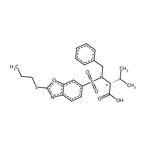 CCCSc1nc2ccc(S(=O)(=O)N(Cc3ccccc3)[C@@H](C(=O)O)C(C)C)cc2o1